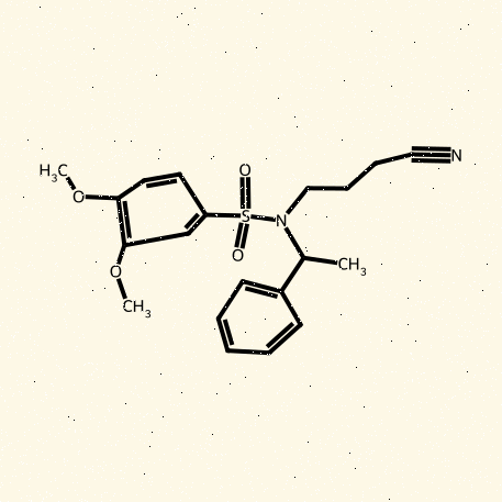 COc1ccc(S(=O)(=O)N(CCCC#N)C(C)c2ccccc2)cc1OC